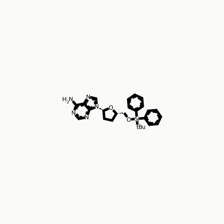 CC(C)(C)[Si](OC[C@@H]1CC[C@H](n2cnc3c(N)ncnc32)O1)(c1ccccc1)c1ccccc1